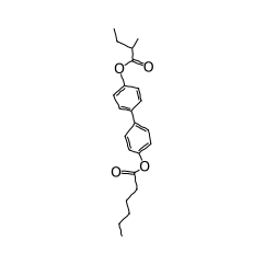 CCCCCC(=O)Oc1ccc(-c2ccc(OC(=O)C(C)CC)cc2)cc1